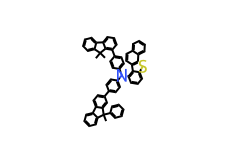 CC1(C)c2ccccc2-c2cccc(-c3ccc(N(c4ccc(-c5ccc6c(c5)C(C)(c5ccccc5)c5ccccc5-6)cc4)c4cccc5sc6c7ccccc7ccc6c45)cc3)c21